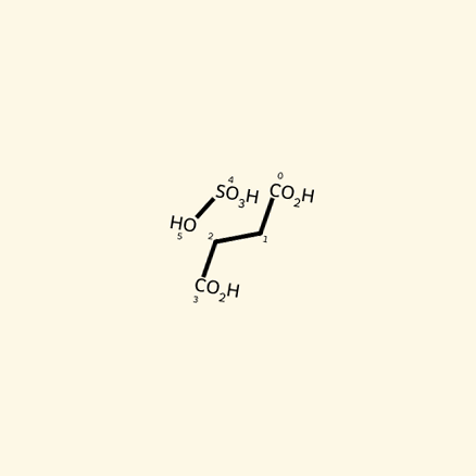 O=C(O)CCC(=O)O.O=S(=O)(O)O